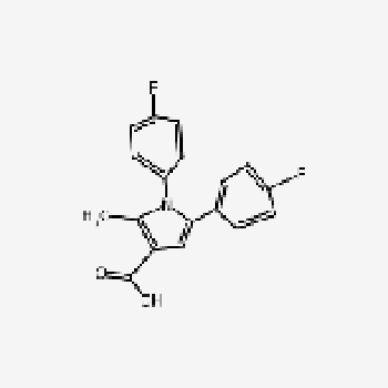 Cc1c(C(=O)O)cc(-c2ccc(F)cc2)n1-c1ccc(F)cc1